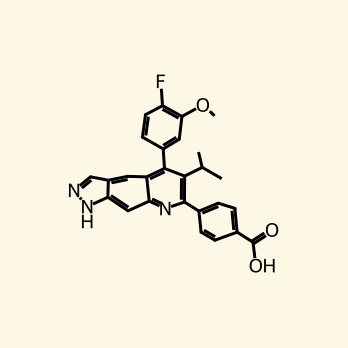 COc1cc(-c2c(C(C)C)c(-c3ccc(C(=O)O)cc3)nc3cc4[nH]ncc4cc23)ccc1F